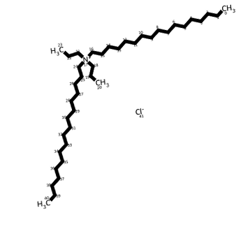 CCCCCCCCCCCCCCCCC[N+](CCC)(CCC)CCCCCCCCCCCCCCCCC.[Cl-]